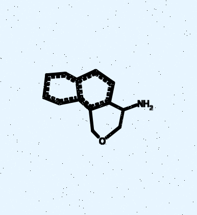 NC1COCc2c1ccc1ccccc21